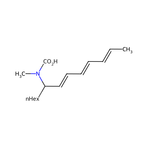 CC=CC=CC=CC(CCCCCC)N(C)C(=O)O